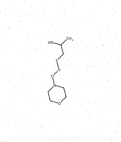 CC(O)CSOON1CCOCC1